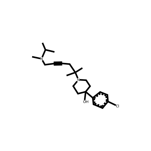 CC(C)N(C)CC#CCC(C)(C)N1CCC(O)(c2ccc(Cl)cc2)CC1